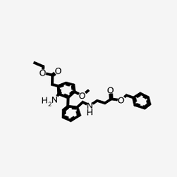 CCOC(=O)Cc1ccc(OC)c(-c2ccccc2CNCCC(=O)OCc2ccccc2)c1N